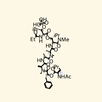 C=C(C(=O)N[C@@H](C)C(=O)N(C)[C@@H](C)C(=O)N[C@H](C(=O)NC)[C@H](OC(=O)[C@@H](NC(=O)CC)[C@H](OP(=O)(O)O)C(C)C)C(C)C)N(C)C(=O)[C@@H](Cc1ccccc1)OC(=O)/C(=C\C(C)C)NC(C)=O